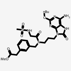 CCCCOc1nc(N)c2[nH]c(=O)n(CCCN(Cc3cccc(CC(=O)OC)c3)C(=O)CNS(C)(=O)=O)c2n1